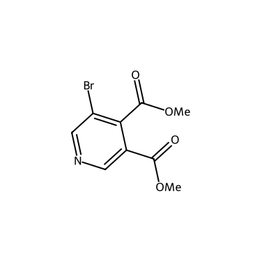 COC(=O)c1cncc(Br)c1C(=O)OC